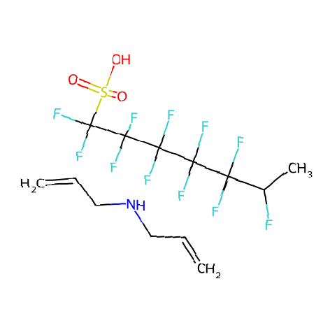 C=CCNCC=C.CC(F)C(F)(F)C(F)(F)C(F)(F)C(F)(F)C(F)(F)S(=O)(=O)O